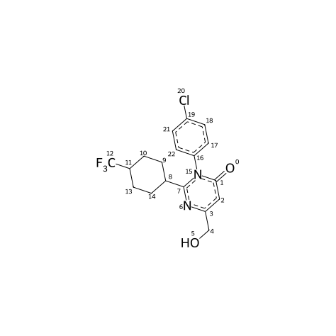 O=c1cc(CO)nc(C2CCC(C(F)(F)F)CC2)n1-c1ccc(Cl)cc1